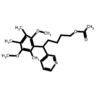 COc1c(C)c(C)c(OC)c(C(CCCCOC(C)=O)c2cccnc2)c1C